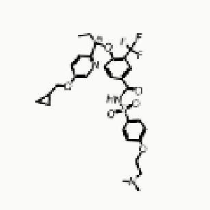 CC[C@@H](Oc1ccc(C(=O)NS(=O)(=O)c2ccc(OCCN(C)C)cc2)cc1C(F)(F)F)c1ccc(OCC2CC2)cn1